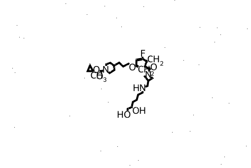 C=C(/C=C(/F)C(=C)CC(=O)N1CC(CNCCCC[C@H](O)CO)C1)OCCCC1CCN(C(=O)OC2(C)CC2)CC1